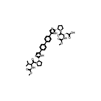 COC(=O)NC(C(=O)N1CCC[C@H]1c1ncc(-c2ccc(-c3ccc(-c4cnc([C@@H]5CCCN5C(=O)[C@H](CC(=O)O)NC(=O)OC)[nH]4)cc3)cc2)[nH]1)C(C)C